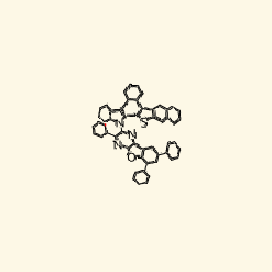 c1ccc(-c2cc(-c3ccccc3)c3oc4nc(-c5ccccc5)c(-n5c6ccccc6c6c7ccccc7c7c8cc9ccccc9cc8sc7c65)nc4c3c2)cc1